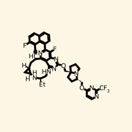 C#Cc1c(F)ccc2cccc(-c3nc4c5c(nc(OC[C@@]67CCCN6[C@H](COc6ccnc(C(F)(F)F)n6)CC7)nc5c3F)NC[C@@H](CC)N[C@H]3C[C@@H]3CC4)c12